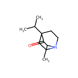 CC1C(=O)C2(C(C)C)CCN1CC2